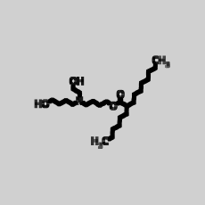 CCCCCCCCC(CCCCCC)C(=O)OCCCCN(CCO)CCCCO